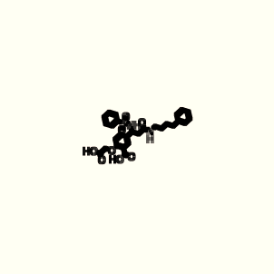 O=C(O)COc1ccc(C(CC(=O)NCCCCc2ccccc2)NS(=O)(=O)c2ccccc2)cc1C(=O)O